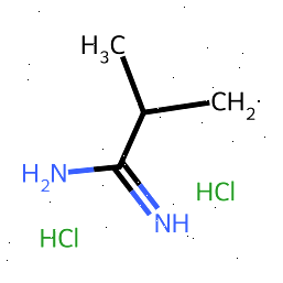 Cl.Cl.[CH2]C(C)C(=N)N